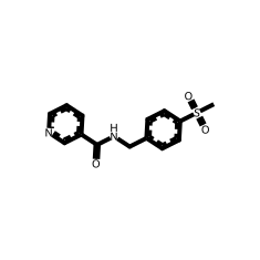 CS(=O)(=O)c1ccc(CNC(=O)c2cccnc2)cc1